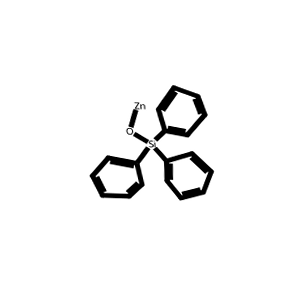 [Zn][O][Si](c1ccccc1)(c1ccccc1)c1ccccc1